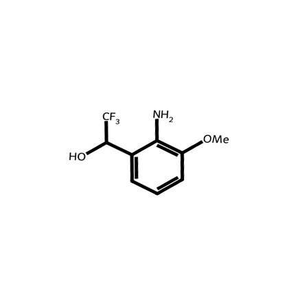 COc1cccc(C(O)C(F)(F)F)c1N